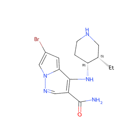 CC[C@H]1CNCC[C@H]1Nc1c(C(N)=O)cnn2cc(Br)cc12